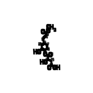 COC(=O)/C=C/c1ccc(OC(=O)C(O)CC(=O)O)c(O)c1